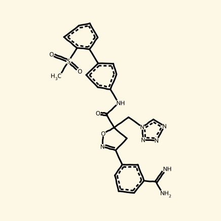 CS(=O)(=O)c1ccccc1-c1ccc(NC(=O)C2(Cn3cnnn3)CC(c3cccc(C(=N)N)c3)=NO2)cc1